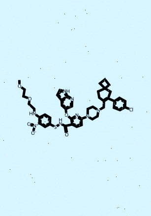 COCCOCCNc1ccc(SNC(=O)c2ccc(N3CCN(CC4=C(c5ccc(Cl)cc5)CC5(CCC5)CC4)CC3)nc2Oc2cnc3[nH]ccc3c2)cc1[N+](=O)[O-]